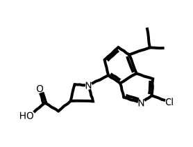 CC(C)c1ccc(N2CC(CC(=O)O)C2)c2cnc(Cl)cc12